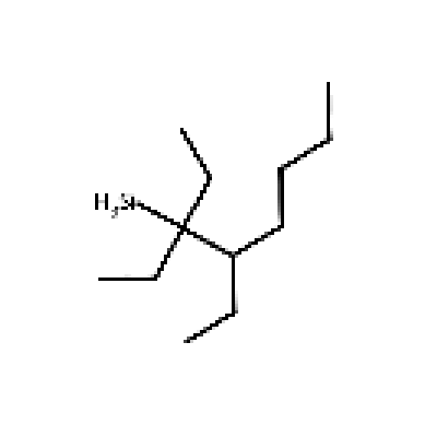 CCCCC(CC)C([SiH3])(CC)CC